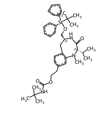 CC(C)[C@H]1C(=O)N[C@H](CO[Si](c2ccccc2)(c2ccccc2)C(C)(C)C)Cc2ccc(CCOC(=O)NC(C)(C)C)cc2N1C